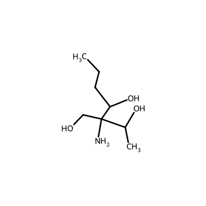 CCCC(O)C(N)(CO)C(C)O